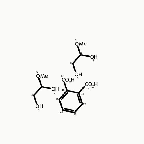 COC(O)CO.COC(O)CO.O=C(O)c1ccccc1C(=O)O